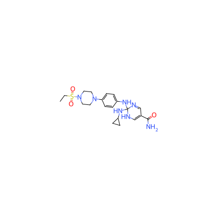 CCS(=O)(=O)N1CCN(c2ccc(NC3(NC4CC4)N=CC(C(N)=O)=CN3)cc2)CC1